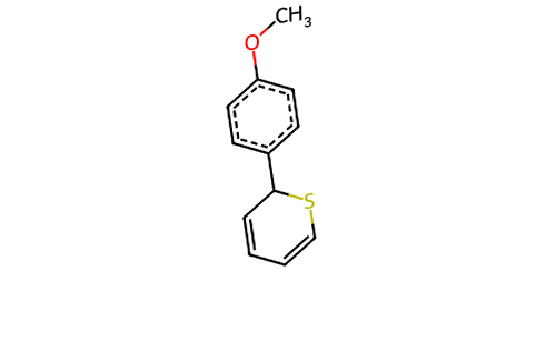 COc1ccc(C2C=CC=CS2)cc1